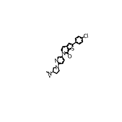 CN(C)[C@@H]1CCN(c2ccc(-n3ccc4cc(-c5ccc(Cl)cc5)sc4c3=O)cn2)C1